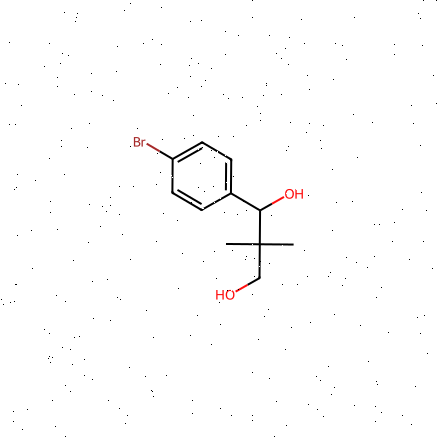 CC(C)(CO)C(O)c1ccc(Br)cc1